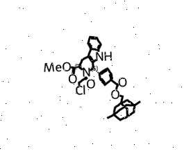 COC(=O)[C@H]1Cc2c([nH]c3ccccc23)[C@H](c2ccc(C(=O)OCC34CC5CC(C)(CC(C)(C5)C3)C4)cc2)N1C(=O)CCl